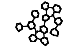 c1ccc(-c2cccc(N3c4ccccc4-c4ccccc4-c4ccc(-c5ccc6c(c5)N(c5cc(-c7ccccc7)cc(-c7ccccc7)c5)c5ccccc5-c5ccccc5-6)cc43)c2)cc1